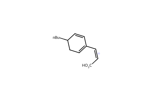 CCCCC1C=CC(/C=C\C(=O)O)=CC1